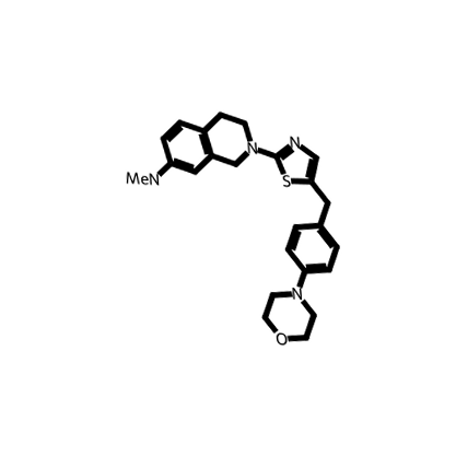 CNc1ccc2c(c1)CN(c1ncc(Cc3ccc(N4CCOCC4)cc3)s1)CC2